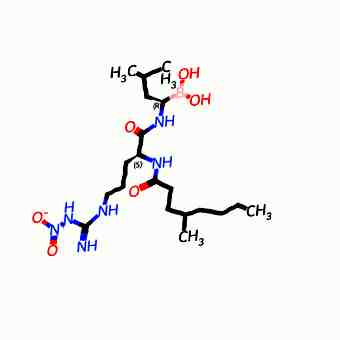 CCCCC(C)CCC(=O)N[C@@H](CCCNC(=N)N[N+](=O)[O-])C(=O)N[C@@H](CC(C)C)B(O)O